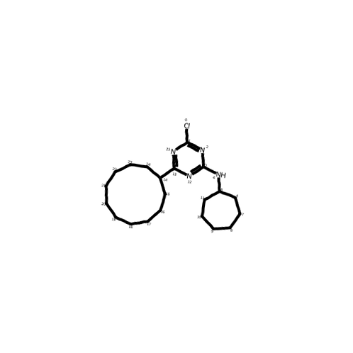 Clc1nc(NC2CCCCCC2)nc(C2CCCCCCCCCC2)n1